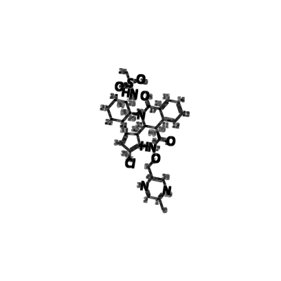 Cc1cnc(CONC(=O)[C@@H]2c3ccccc3C(=O)N([C@H]3CCCC[C@@H]3NS(C)(=O)=O)C2C2C=CC(Cl)=C2)cn1